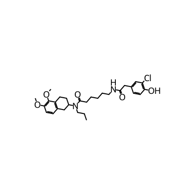 CCCN(C(=O)CCCCCNC(=O)Cc1ccc(O)c(Cl)c1)C1CCc2c(ccc(OC)c2OC)C1